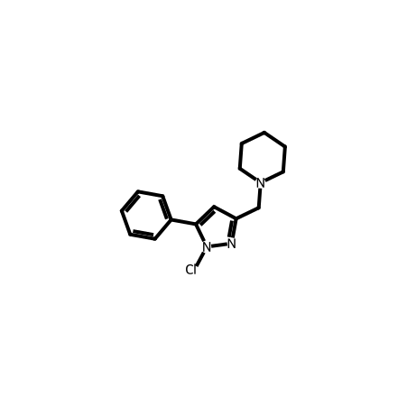 Cln1nc(CN2CCCCC2)cc1-c1ccccc1